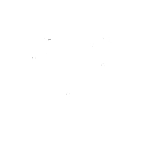 Cc1cc(C(=O)O)cc(C(=O)ON)c1